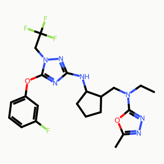 CCN(CC1CCCC1Nc1nc(Oc2cccc(F)c2)n(CC(F)(F)F)n1)c1nnc(C)o1